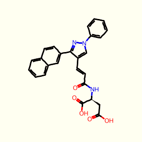 O=C(O)C[C@H](NC(=O)/C=C/c1cn(-c2ccccc2)nc1-c1ccc2ccccc2c1)C(=O)O